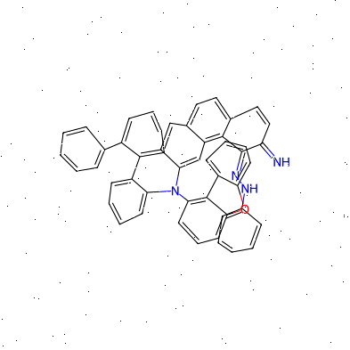 N=C1C=Cc2ccc3ccc(N(c4ccccc4-c4ccccc4-c4ccccc4)c4cccc5oc6ccccc6c45)cc3c2/C1=N/Nc1ccccc1